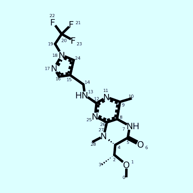 CO[C@H](C)[C@H]1C(=O)Nc2c(C)nc(NCc3cnn(CC(F)(F)F)c3)nc2N1C